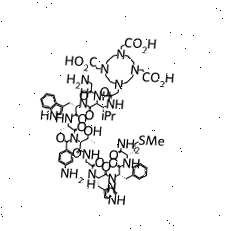 CSCC[C@H](NC(=O)[C@H](Cc1ccccc1)NC(=O)[C@H](Cc1c[nH]cn1)NC(=O)CNC(=O)[C@H]([C@@H](C)O)N(C(=O)c1ccc(N)cc1)C(=O)[C@H](C)NC(=O)[C@H](Cc1c[nH]c2ccccc12)NC(=O)[C@@H](NC(=O)CN)[C@H](NC(=O)CN1CCN(CC(=O)O)CCN(CC(=O)O)CCN(CC(=O)O)CC1)C(C)C)C(N)=O